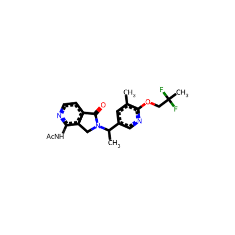 CC(=O)Nc1nccc2c1CN(C(C)c1cnc(OCC(C)(F)F)c(C)c1)C2=O